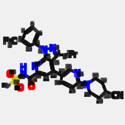 CC(C)c1nn(-c2cccc(C(F)(F)F)c2)c2nc(C(=O)NS(C)(=O)=O)cc(-c3ccc(N4CCC(C#N)CC4)nc3)c12